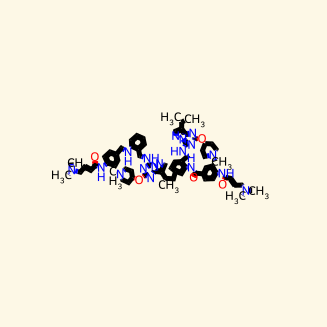 CC(C)c1cnn2c(NCc3ccc(CC(C)c4cnn5c(NCc6ccccc6NCc6ccc(NC(=O)/C=C/CN(C)C)cc6)nc(OC6CCN(C)CC6)nc45)cc3NC(=O)c3ccc(NC(=O)/C=C/CN(C)C)cc3)nc(OC3CCN(C)CC3)nc12